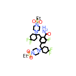 CCS(=O)(=O)N1CCN(C2(Cc3cc(F)c(C(N)=O)c(CC4(N5CCN(S(=O)(=O)CC)CC5)CCC(F)(F)CC4)c3)CCC(F)(F)CC2)CC1